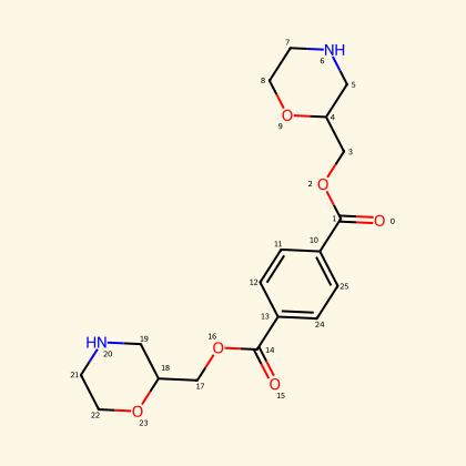 O=C(OCC1CNCCO1)c1ccc(C(=O)OCC2CNCCO2)cc1